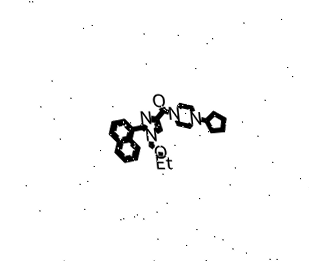 CCOCn1cc(C(=O)N2CCN(C3CCCC3)CC2)nc1-c1cccc2ccccc12